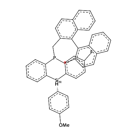 COc1ccc([Si@@H](c2ccc(F)cc2)c2ccccc2P2Cc3ccc4ccccc4c3-c3c(ccc4ccccc34)C2)cc1